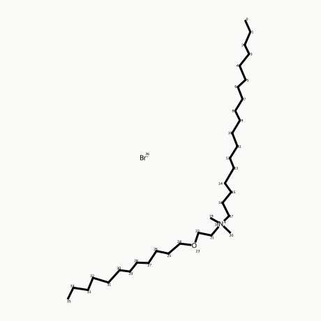 CCCCCCCCCCCCCCCCCC[N+](C)(C)CCOCCCCCCCCCCCC.[Br-]